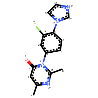 Cc1cc(=O)n(-c2ccc(-n3ccnc3)c(F)c2)c(C)n1